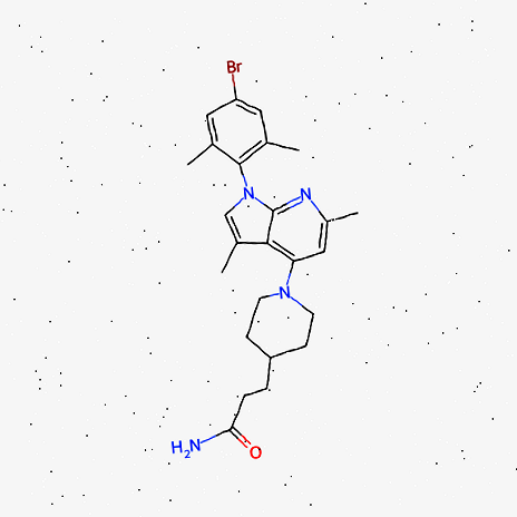 Cc1cc(N2CCC(CCC(N)=O)CC2)c2c(C)cn(-c3c(C)cc(Br)cc3C)c2n1